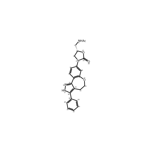 CC(=O)NC[C@H]1CN(c2ccc3c(c2)OCCc2c-3n[nH]c2-c2ccccc2)C(=O)O1